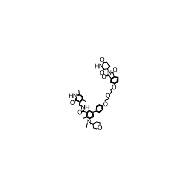 CCN(c1cc(-c2ccc(OCCOCCOc3ccc4c(c3)C(=O)N(C3CCC(=O)NC3=O)C4=O)cc2)cc(C(=O)NCc2c(C)cc(C)[nH]c2=O)c1C)C1CCOCC1